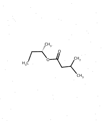 CC[C@H](C)OC(=O)CC(C)C